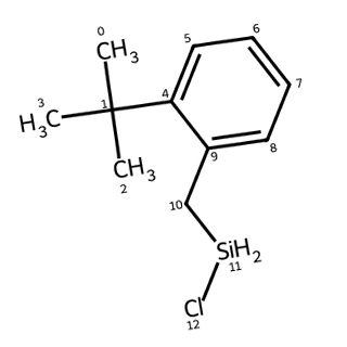 CC(C)(C)c1ccccc1C[SiH2]Cl